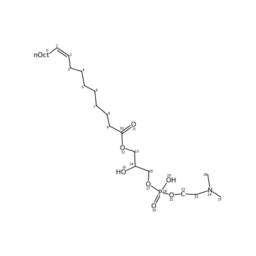 CCCCCCCC/C=C\CCCCCCCC(=O)OCC(O)COP(=O)(O)OCCN(C)C